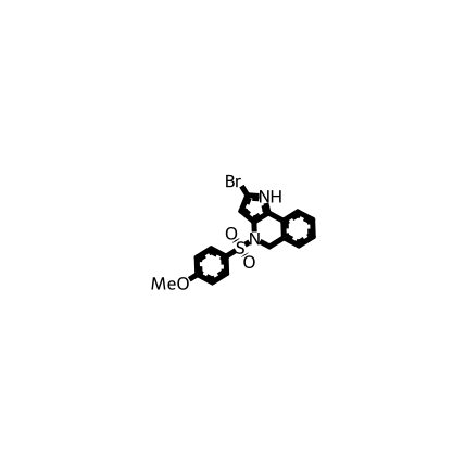 COc1ccc(S(=O)(=O)N2Cc3ccccc3-c3[nH]c(Br)cc32)cc1